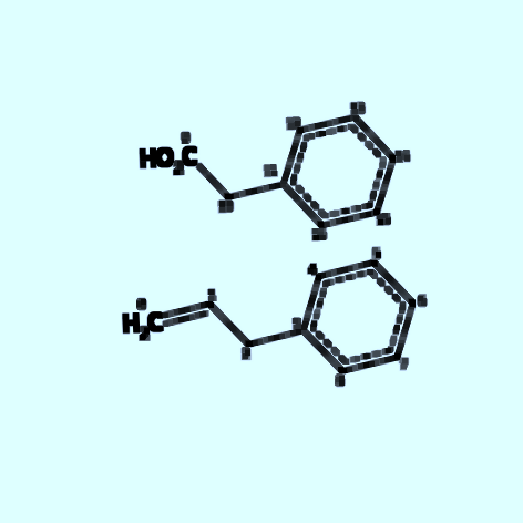 C=CCc1ccccc1.O=C(O)Cc1ccccc1